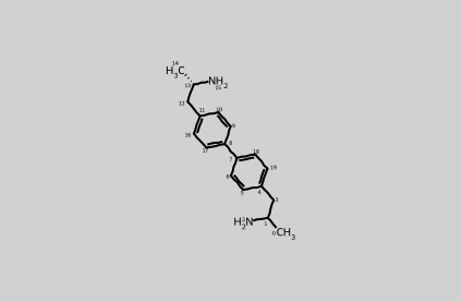 CC(N)Cc1ccc(-c2ccc(C[C@H](C)N)cc2)cc1